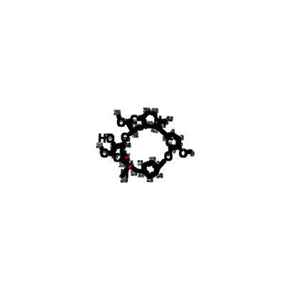 COc1ccc2cc1Oc1ccc(cc1)C[C@H]1c3cc(OC)c(O)c(c3CCN1C)Oc1cc3c(cc1OC)CCN(C)[C@@H]3C2